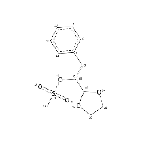 CS(=O)(=O)O[C@H](Cc1ccccc1)C1OCCO1